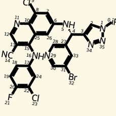 CC(C)n1cc([C@@H](Nc2cc(Cl)c3ncc(C#N)c(Nc4ccc(F)c(Cl)c4)c3c2)c2cncc(Br)c2)nn1